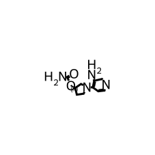 NC(=O)O[C@@H]1CCN(c2ccncc2N)C1